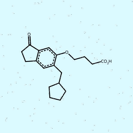 O=C(O)CCCOc1cc2c(cc1CC1CCCC1)CCC2=O